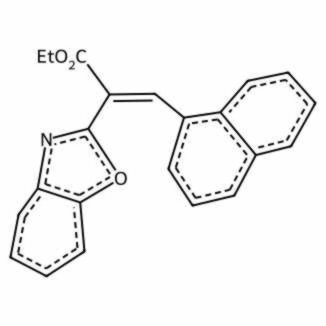 CCOC(=O)C(=Cc1cccc2ccccc12)c1nc2ccccc2o1